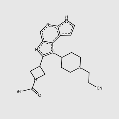 CC(C)C(=O)N1CC(c2nc3cnc4[nH]ccc4c3n2C2CCN(CCC#N)CC2)C1